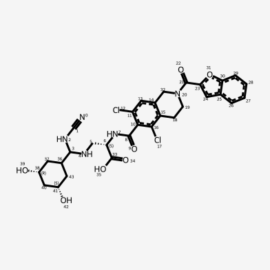 N#CNC(NC[C@H](NC(=O)c1c(Cl)cc2c(c1Cl)CCN(C(=O)c1cc3ccccc3o1)C2)C(=O)O)C1C[C@@H](O)C[C@@H](O)C1